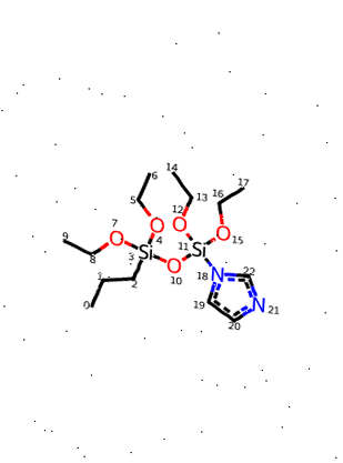 CCC[Si](OCC)(OCC)O[Si](OCC)(OCC)n1ccnc1